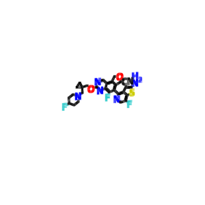 N#Cc1c(N)sc2c(F)cnc(-c3c4c(c5cnc(OCC6(CN7CCC(F)CC7)CC6)nc5c3F)COC4)c12